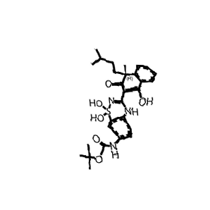 CC(C)CC[C@@]1(C)C(=O)C(C2=NS(O)(O)c3cc(NC(=O)OC(C)(C)C)ccc3N2)=C(O)c2ccccc21